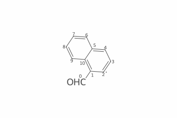 O=Cc1[c]ccc2ccccc12